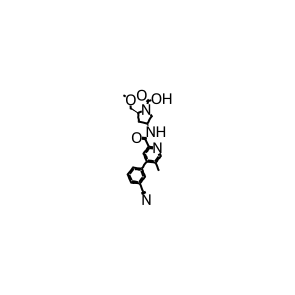 COC[C@@H]1C[C@@H](NC(=O)c2cc(-c3cccc(C#N)c3)c(C)cn2)CN1C(=O)O